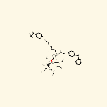 CC(C)C[Si]12O[Si]3(CCCN(CC(O)COCCOc4ccc(C(=O)C(C)(C)O)cc4)CC(O)COc4ccc(C(=O)c5ccccc5)cc4)O[Si]4(CC(C)C)O[Si](CC(C)C)(O1)O[Si]1(CC(C)C)O[Si](CC(C)C)(O2)O[Si](CC(C)C)(O3)O[Si](CC(C)C)(O4)O1